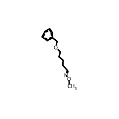 CON=CCCCCOCc1ccccc1